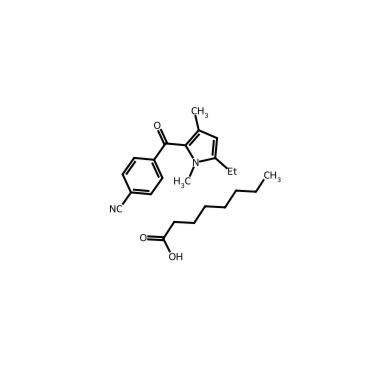 CCCCCCCC(=O)O.CCc1cc(C)c(C(=O)c2ccc(C#N)cc2)n1C